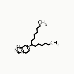 CCCCCCCC(CCCCCC)N1CCn2cnnc2C1